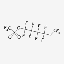 O=S(=O)(OC(F)(F)C(F)(F)C(F)(F)C(F)(F)CC(F)(F)F)C(F)(F)F